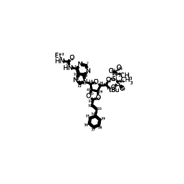 CCNC(=O)Nc1ncnc2c1ncn2C1OC(C(O[SiH](S(C)(=O)=O)S(C)(=O)=O)C(C)(C)C)C2OC(/C=C/c3ccccc3)OC21